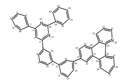 c1ccc(-c2cc(-c3cccc(-c4cccc(-c5ccc6c(c5)c5ccccc5c5ncccc65)c4)c3)nc(-c3ccccc3)n2)cc1